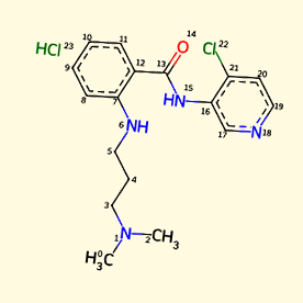 CN(C)CCCNc1ccccc1C(=O)Nc1cnccc1Cl.Cl